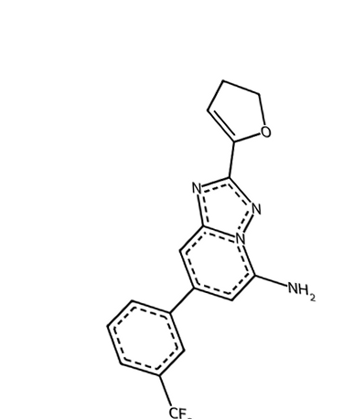 Nc1cc(-c2cccc(C(F)(F)F)c2)cc2nc(C3=CCCO3)nn12